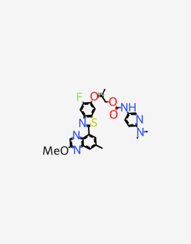 COc1cnc2c(-c3nc4cc(F)c(O[C@@H](C)COC(=O)Nc5ccc(N(C)C)nc5)cc4s3)cc(C)cc2n1